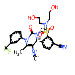 [C-]#[N+]C1=C(C)N(c2cccc(C(F)(F)F)c2)C(=O)N(C)[C@@H]1c1ccc(C#N)cc1S(=O)(=O)N(CCO)CCO